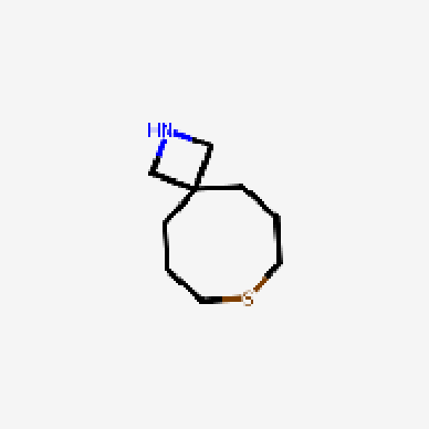 C1CSCCCC2(C1)CNC2